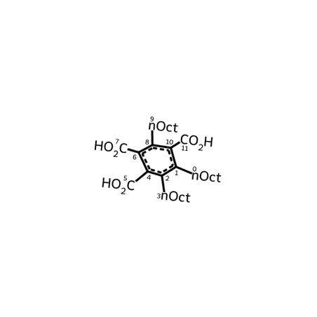 CCCCCCCCc1c(CCCCCCCC)c(C(=O)O)c(C(=O)O)c(CCCCCCCC)c1C(=O)O